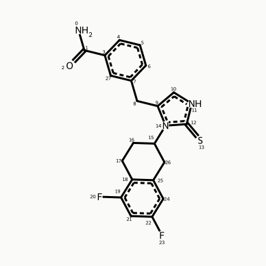 NC(=O)c1cccc(Cc2c[nH]c(=S)n2C2CCc3c(F)cc(F)cc3C2)c1